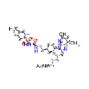 CC(=O)NCCCCCc1nc2c(C)cc(C)nc2n1-c1ccc(CCNC(=O)NS(=O)(=O)c2ccc(C)cc2)cc1